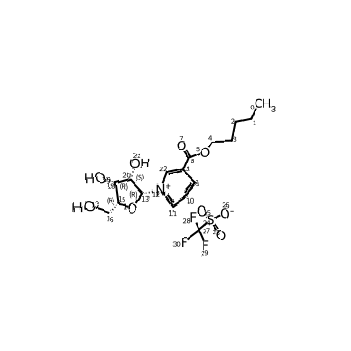 CCCCCOC(=O)c1ccc[n+]([C@@H]2O[C@H](CO)[C@H](O)[C@@H]2O)c1.O=S(=O)([O-])C(F)(F)F